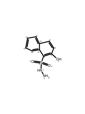 NNS(=O)(=O)c1c(O)ccc2ccccc12